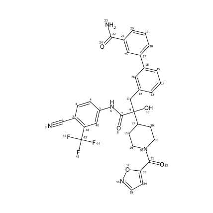 N#Cc1ccc(NC(=O)C(O)(Cc2cccc(-c3cccc(C(N)=O)c3)c2)C2CCN(C(=O)c3ccno3)CC2)cc1C(F)(F)F